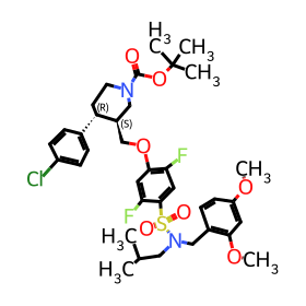 COc1ccc(CN(CC(C)C)S(=O)(=O)c2cc(F)c(OC[C@@H]3CN(C(=O)OC(C)(C)C)CC[C@H]3c3ccc(Cl)cc3)cc2F)c(OC)c1